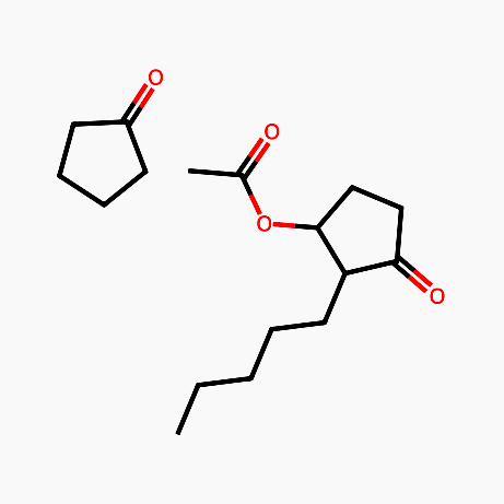 CCCCCC1C(=O)CCC1OC(C)=O.O=C1CCCC1